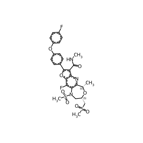 CNC(=O)c1c(-c2ccc(Oc3ccc(F)cc3)cc2)oc2c(F)c3c(nc12)[C@H](C)O[C@H](CS(C)(=O)=O)CN3S(C)(=O)=O